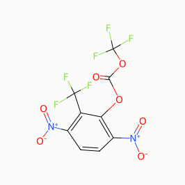 O=C(Oc1c([N+](=O)[O-])ccc([N+](=O)[O-])c1C(F)(F)F)OC(F)(F)F